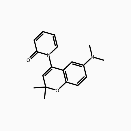 CN(C)c1ccc2c(c1)C(n1ccccc1=O)=CC(C)(C)O2